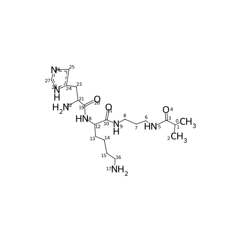 CC(C)C(=O)NCCCNC(=O)C(CCCCN)NC(=O)C(N)Cc1cnc[nH]1